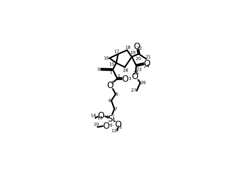 C=C(C(=O)OCCC[Si](OC)(OC)OC)C12CC1CC(C(C)=O)(C(=O)OCC)C2